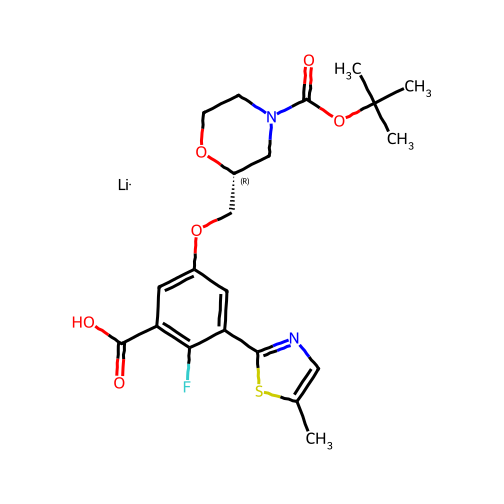 Cc1cnc(-c2cc(OC[C@H]3CN(C(=O)OC(C)(C)C)CCO3)cc(C(=O)O)c2F)s1.[Li]